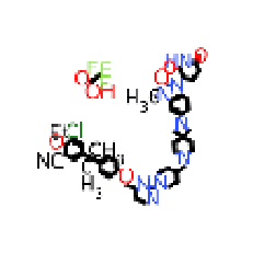 CCOc1c(Cl)cc(C(C)(C)c2ccc(OCc3ccnc(N4CCC(CN5CCC6(CC5)CN(c5ccc7c(c5)n(C)c(=O)n7C5CCC(=O)NC5=O)C6)CC4)n3)cc2)cc1C#N.O=C(O)C(F)(F)F